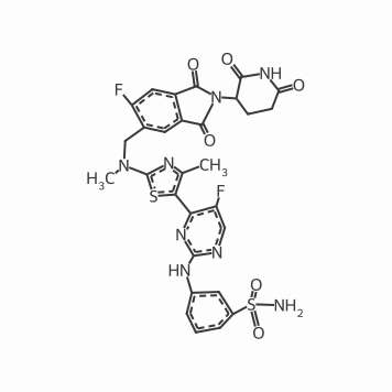 Cc1nc(N(C)Cc2cc3c(cc2F)C(=O)N(C2CCC(=O)NC2=O)C3=O)sc1-c1nc(Nc2cccc(S(N)(=O)=O)c2)ncc1F